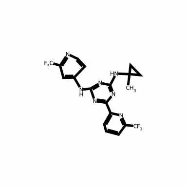 CC1(Nc2nc(Nc3ccnc(C(F)(F)F)c3)nc(-c3cccc(C(F)(F)F)n3)n2)CC1